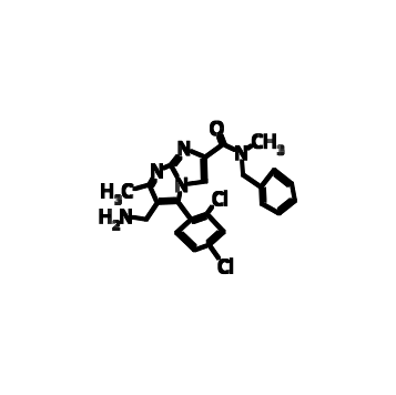 Cc1nc2nc(C(=O)N(C)Cc3ccccc3)cn2c(-c2ccc(Cl)cc2Cl)c1CN